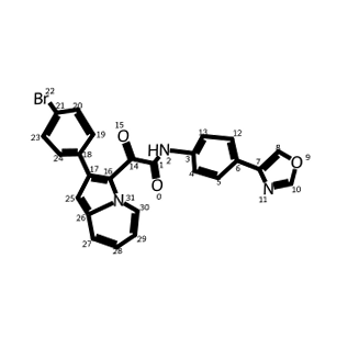 O=C(Nc1ccc(-c2cocn2)cc1)C(=O)c1c(-c2ccc(Br)cc2)cc2ccccn12